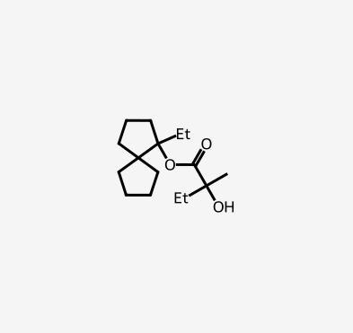 CCC(C)(O)C(=O)OC1(CC)CCCC12CCCC2